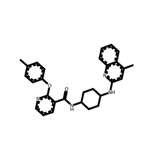 Cc1ccc(Oc2ncccc2C(=O)NC2CCC(Nc3cc(C)c4ccccc4n3)CC2)cc1